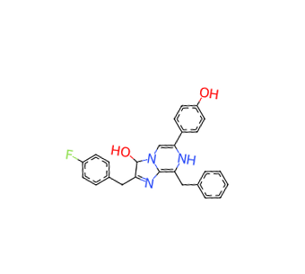 Oc1ccc(C2=CN3C(=C(Cc4ccccc4)N2)N=C(Cc2ccc(F)cc2)C3O)cc1